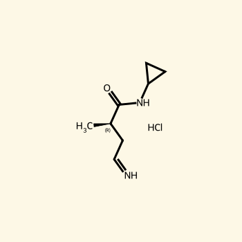 C[C@H](CC=N)C(=O)NC1CC1.Cl